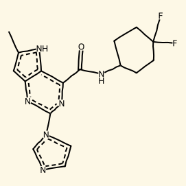 Cc1cc2nc(-n3ccnc3)nc(C(=O)NC3CCC(F)(F)CC3)c2[nH]1